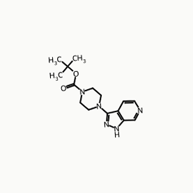 CC(C)(C)OC(=O)N1CCN(c2n[nH]c3cnccc23)CC1